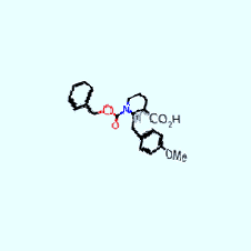 COc1ccc(C[C@@H]2[C@H](C(=O)O)CCCN2C(=O)OCc2ccccc2)cc1